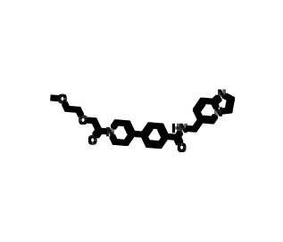 COCCOCC(=O)N1CC=C(c2ccc(C(=O)NCc3ccc4nccn4c3)cc2)CC1